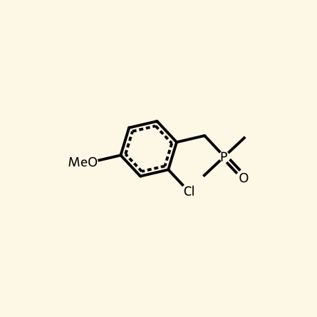 COc1ccc(CP(C)(C)=O)c(Cl)c1